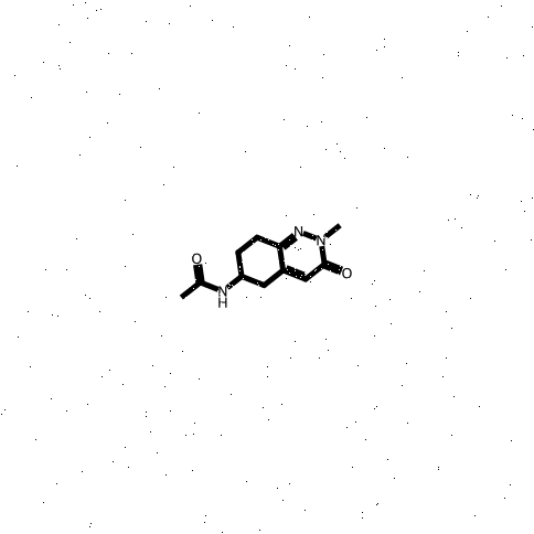 CC(=O)NC1CCc2nn(C)c(=O)cc2C1